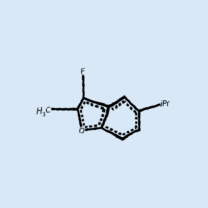 Cc1oc2ccc(C(C)C)cc2c1F